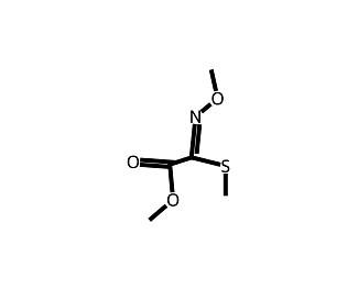 CON=C(SC)C(=O)OC